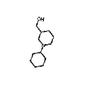 OCC1CCCN([C]2CCCCC2)C1